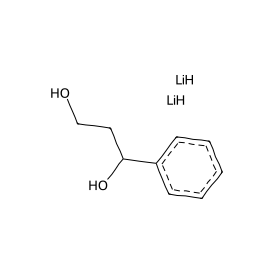 OCCC(O)c1ccccc1.[LiH].[LiH]